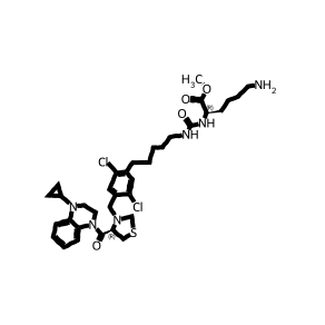 COC(=O)[C@@H](CCCCN)NC(=O)NCCCCCc1cc(Cl)c(CN2CSC[C@H]2C(=O)N2CCN(C3CC3)c3ccccc32)cc1Cl